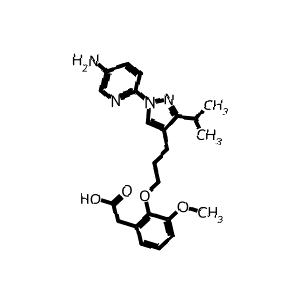 COc1cccc(CC(=O)O)c1OCCCc1cn(-c2ccc(N)cn2)nc1C(C)C